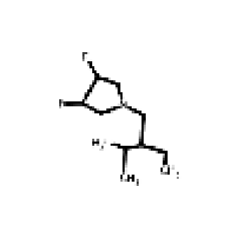 CCC(CN1CC(F)C(F)C1)C(C)C